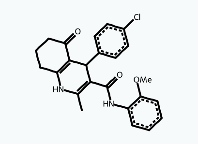 COc1ccccc1NC(=O)C1=C(C)NC2=C(C(=O)CCC2)C1c1ccc(Cl)cc1